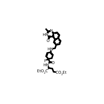 CCOC(=O)CC[C@H](NC(=O)C1(F)C=CC(NCc2ccc3ccc4nc(C)[nH]c(=O)c4c3c2)=CC1)C(=O)OCC